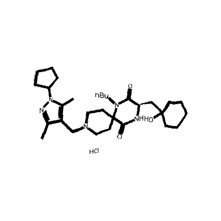 CCCCN1C(=O)[C@@H](CC2(O)CCCCC2)NC(=O)C12CCN(Cc1c(C)nn(C3CCCC3)c1C)CC2.Cl